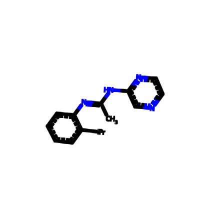 C/C(=N\c1ccccc1C(C)C)Nc1cnccn1